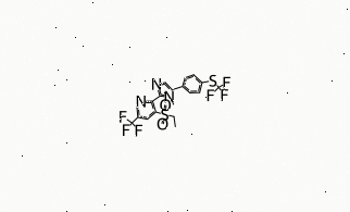 CCS(=O)(=O)c1cc(C(F)(F)F)cnc1-c1ncc(-c2ccc(SC(F)(F)F)cc2)n1C